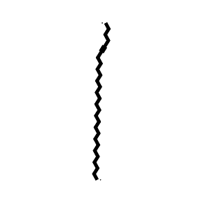 [CH2]CCCC#CCCCCCCCCCCCCCCCCCCCCC[CH2]